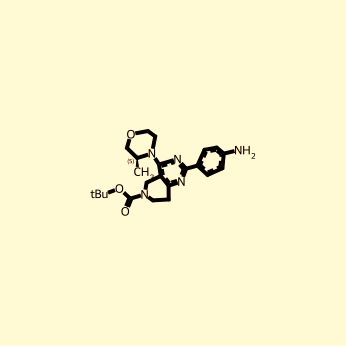 C[C@H]1COCCN1c1nc(-c2ccc(N)cc2)nc2c1CN(C(=O)OC(C)(C)C)CC2